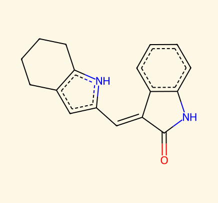 O=C1Nc2ccccc2/C1=C\c1cc2c([nH]1)CCCC2